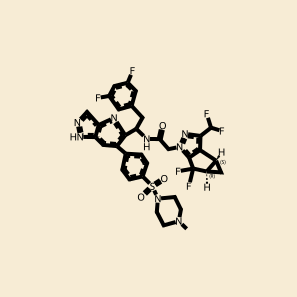 CN1CCN(S(=O)(=O)c2ccc(-c3cc4[nH]ncc4nc3C(Cc3cc(F)cc(F)c3)NC(=O)Cn3nc(C(F)F)c4c3C(F)(F)[C@@H]3C[C@H]43)cc2)CC1